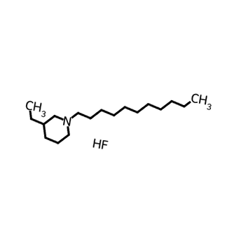 CCCCCCCCCCCN1CCCC(CC)C1.F